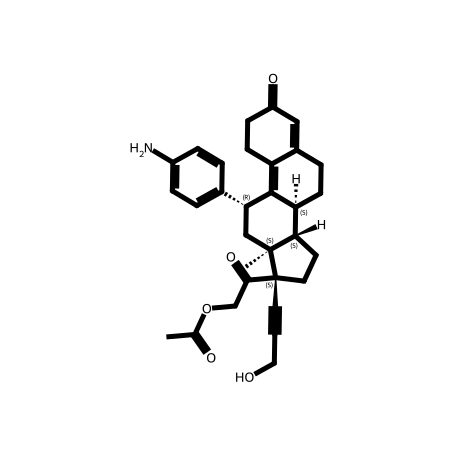 CC(=O)OCC(=O)[C@@]1(C#CCO)CC[C@H]2[C@@H]3CCC4=CC(=O)CCC4=C3[C@@H](c3ccc(N)cc3)C[C@@]21C